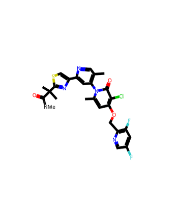 CNC(=O)C(C)(C)c1nc(-c2cc(-n3c(C)cc(OCc4ncc(F)cc4F)c(Cl)c3=O)c(C)cn2)cs1